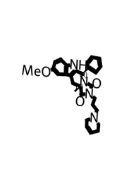 COc1ccc2[nH]c3c(c2c1)C[C@@]1(C)C(=O)N(CCCN2CC=CCC2)C(=O)N1[C@@H]3c1ccccc1